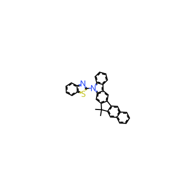 CC1(C)c2cc3ccccc3cc2-c2cc3c4ccccc4n(-c4nc5ccccc5s4)c3cc21